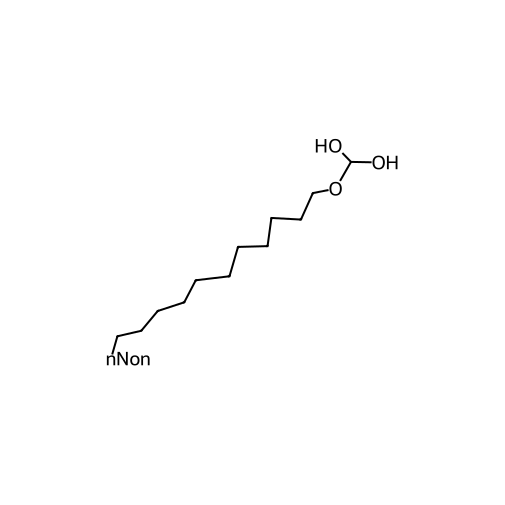 CCCCCCCCCCCCCCCCCCCCOC(O)O